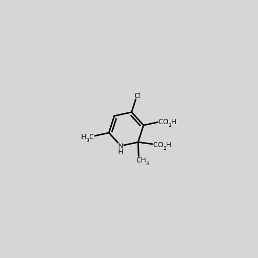 CC1=CC(Cl)=C(C(=O)O)C(C)(C(=O)O)N1